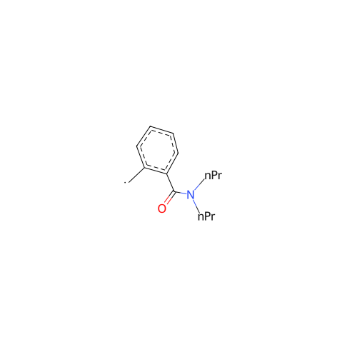 [CH2]c1ccccc1C(=O)N(CCC)CCC